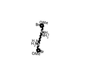 COc1ccc(CCN(N)/C=C(\N)CCCC/C(N)=C/N(N)CCc2ccc(OC)c(Br)c2)cc1Br